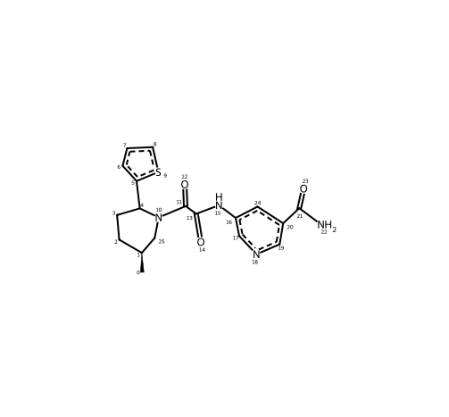 C[C@H]1CCC(c2cccs2)N(C(=O)C(=O)Nc2cncc(C(N)=O)c2)C1